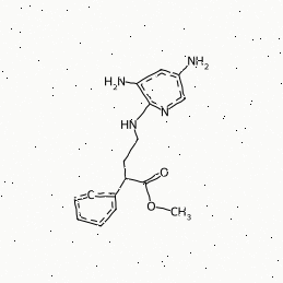 COC(=O)C(CCNc1ncc(N)cc1N)c1ccccc1